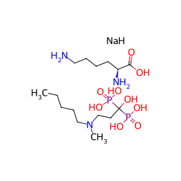 CCCCCN(C)CCC(O)(P(=O)(O)O)P(=O)(O)O.NCCCC[C@H](N)C(=O)O.[NaH]